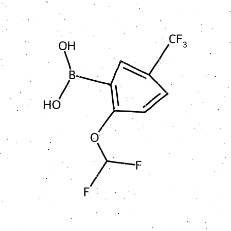 OB(O)c1cc(C(F)(F)F)ccc1OC(F)F